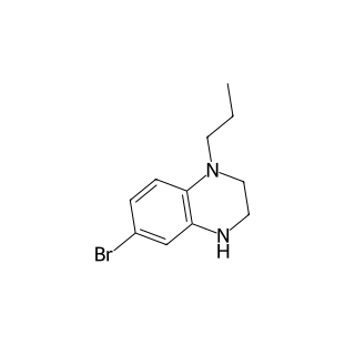 CCCN1CCNc2cc(Br)ccc21